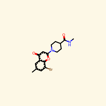 CNC(=O)C1CCN(c2cc(=O)c3cc(C)cc(Br)c3o2)CC1